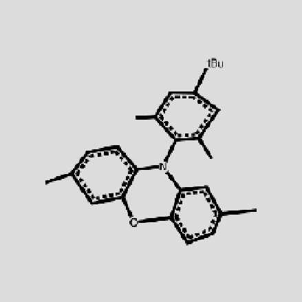 Cc1ccc2c(c1)Oc1ccc(C)cc1N2c1c(C)cc(C(C)(C)C)cc1C